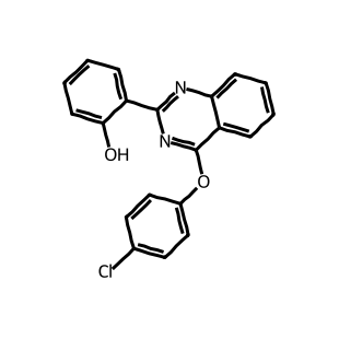 Oc1ccccc1-c1nc(Oc2ccc(Cl)cc2)c2ccccc2n1